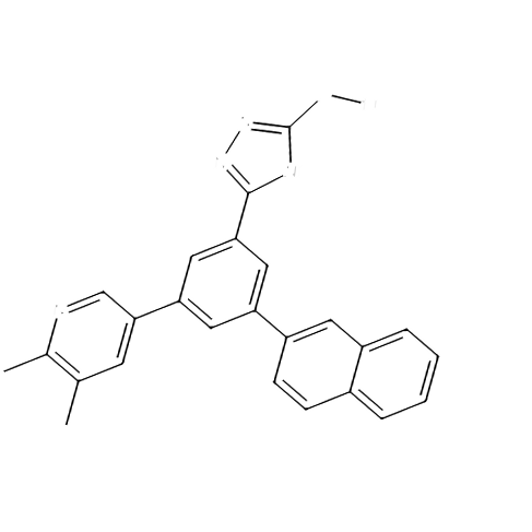 CCSc1nnc(-c2cc(-c3cnc(C)c(C)c3)cc(-c3ccc4ccccc4c3)c2)[nH]1